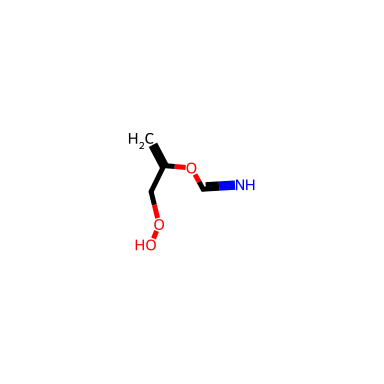 C=C(COO)OC=N